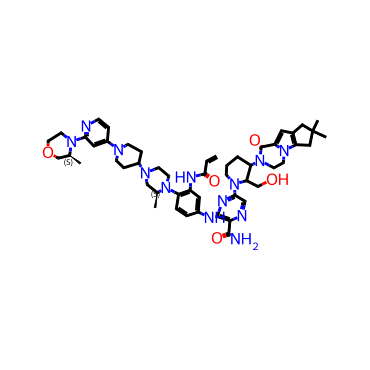 C=CC(=O)Nc1cc(Nc2nc(N3CCCC(N4CCn5c(cc6c5CC(C)(C)C6)C4=O)C3CO)cnc2C(N)=O)ccc1N1CCN(C2CCN(c3ccnc(N4CCOC[C@@H]4C)c3)CC2)C[C@@H]1C